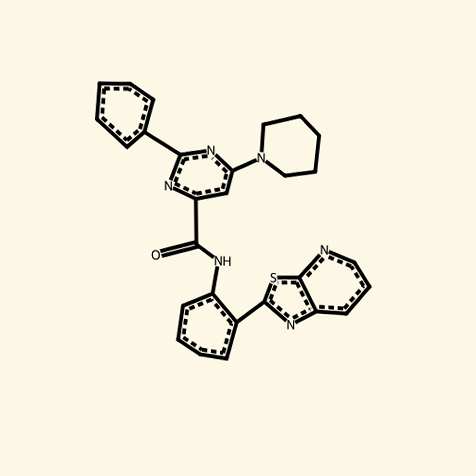 O=C(Nc1ccccc1-c1nc2cccnc2s1)c1cc(N2CCCCC2)nc(-c2ccccc2)n1